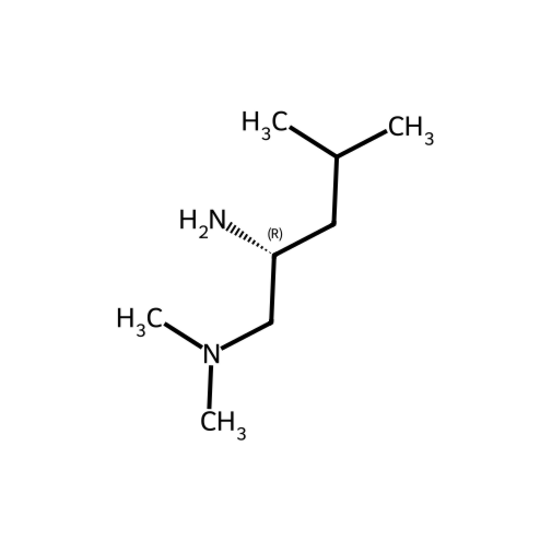 CC(C)C[C@@H](N)CN(C)C